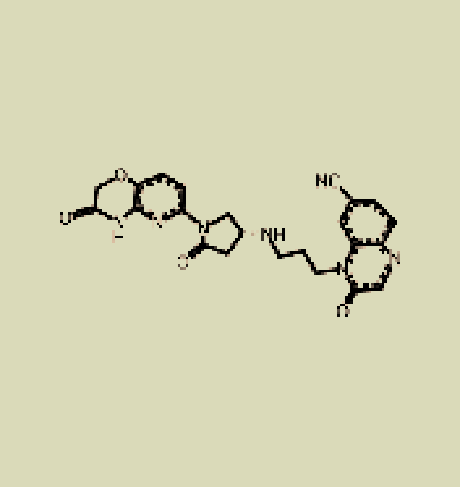 N#Cc1ccc2ncc(=O)n(CCCN[C@@H]3CC(=O)N(c4ccc5c(n4)NC(=O)CO5)C3)c2c1